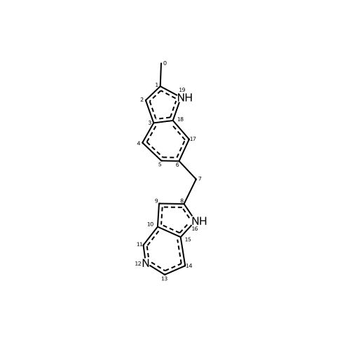 Cc1cc2ccc(Cc3cc4cnccc4[nH]3)cc2[nH]1